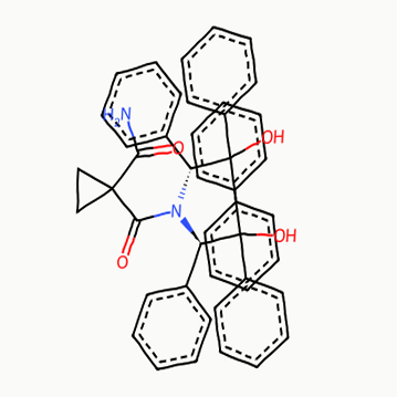 NC(=O)C1(C(=O)N([C@H](c2ccccc2)C(O)(c2ccccc2)c2ccccc2)[C@H](c2ccccc2)C(O)(c2ccccc2)c2ccccc2)CC1